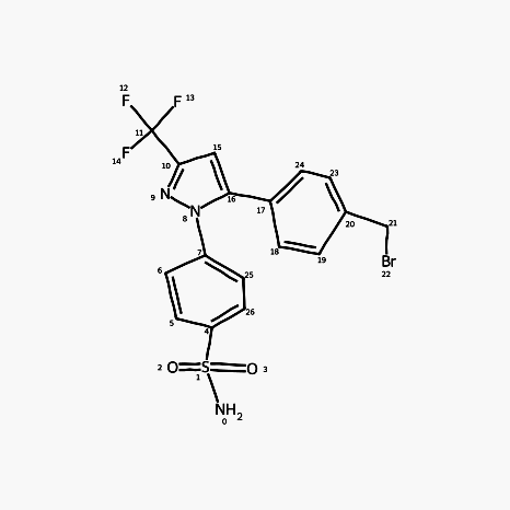 NS(=O)(=O)c1ccc(-n2nc(C(F)(F)F)cc2-c2ccc(CBr)cc2)cc1